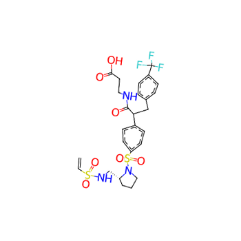 C=CS(=O)(=O)NC[C@H]1CCCN1S(=O)(=O)c1ccc(C(Cc2ccc(C(F)(F)F)cc2)C(=O)NCCC(=O)O)cc1